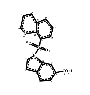 O=C(O)c1ccc2ccn(S(=O)(=O)c3cccc4cccnc34)c2c1